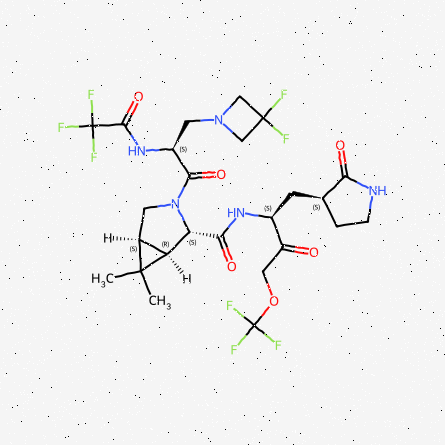 CC1(C)[C@@H]2[C@@H](C(=O)N[C@@H](C[C@@H]3CCNC3=O)C(=O)COC(F)(F)F)N(C(=O)[C@H](CN3CC(F)(F)C3)NC(=O)C(F)(F)F)C[C@@H]21